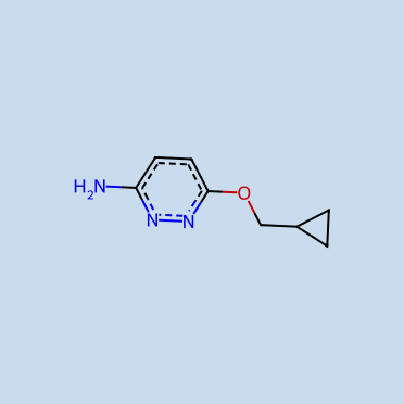 Nc1ccc(OCC2CC2)nn1